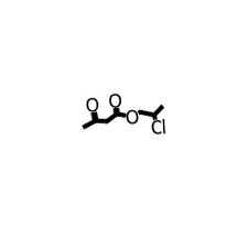 CC(=O)CC(=O)OCC(C)Cl